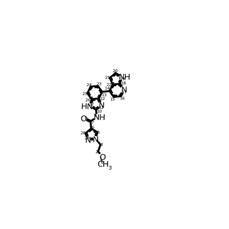 COCCn1cc(C(=O)Nc2nc3c(-c4ccnc5[nH]ccc45)cccc3[nH]2)cn1